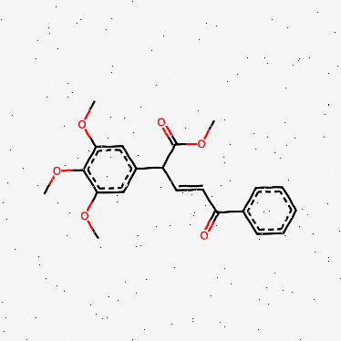 COC(=O)C(/C=C/C(=O)c1ccccc1)c1cc(OC)c(OC)c(OC)c1